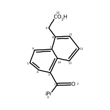 CC(C)C(=O)c1cccc2c(CC(=O)O)cccc12